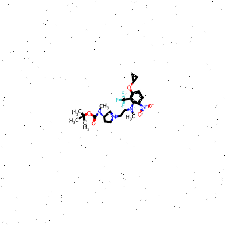 CN(CCN1CC[C@@H](N(C)C(=O)OC(C)(C)C)C1)c1c([N+](=O)[O-])ccc(OC2CC2)c1C(F)(F)F